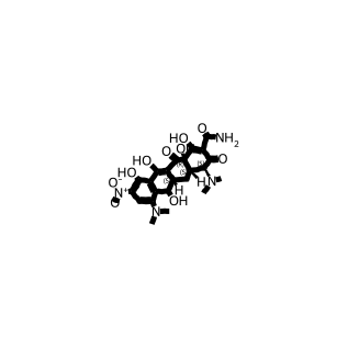 CN(C)c1cc([N+](=O)[O-])c(O)c2c1C(O)[C@H]1C[C@H]3[C@H](N(C)C)C(=O)C(C(N)=O)=C(O)[C@@]3(O)C(=O)C1=C2O